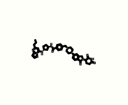 CCCc1cc(N[C@@H]2CC[C@@H](NC(=O)c3ccc(CN4CCN(c5ccc6c(c5)CN(C5CCC(=O)NC5=O)C6=O)CC4)cc3)C2)n2nccc2n1